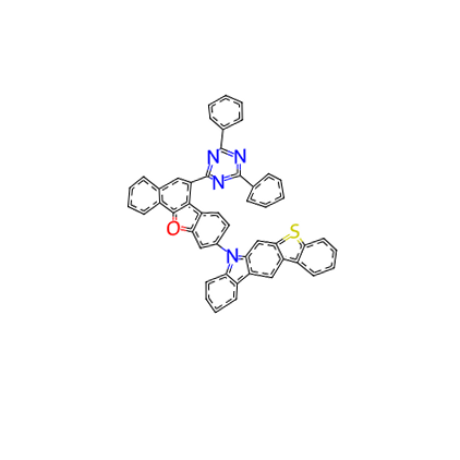 c1ccc(-c2nc(-c3ccccc3)nc(-c3cc4ccccc4c4oc5cc(-n6c7ccccc7c7cc8c(cc76)sc6ccccc68)ccc5c34)n2)cc1